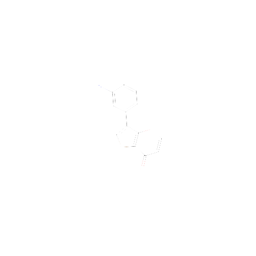 Nc1cccc(-c2csc3c(=O)c[c]oc23)c1